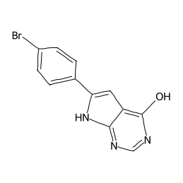 Oc1ncnc2[nH]c(-c3ccc(Br)cc3)cc12